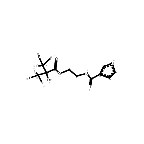 O=C(OCCOC(=O)C(O)(C(F)(F)F)C(F)(F)F)c1ccoc1